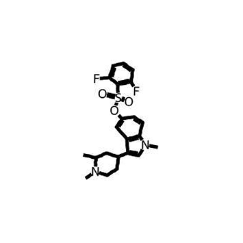 CC1CC(c2cn(C)c3ccc(OS(=O)(=O)c4c(F)cccc4F)cc23)CCN1C